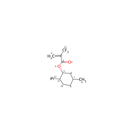 C=C(C(=O)OC1CC(C)CCC1C(C)C)C(F)(F)F